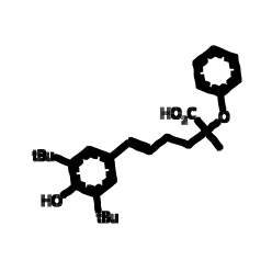 CC(CCC=Cc1cc(C(C)(C)C)c(O)c(C(C)(C)C)c1)(Oc1ccccc1)C(=O)O